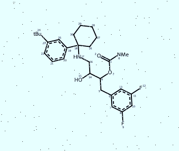 CNC(=O)OC(Cc1cc(F)cc(F)c1)C(O)CNC1(c2cccc(C(C)(C)C)c2)CCCCC1